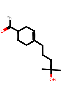 [2H]C(=O)C1CC=C(CCCC(C)(C)O)CC1